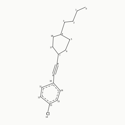 CCCCC1CCC(C#Cc2ccc(Cl)cc2)CC1